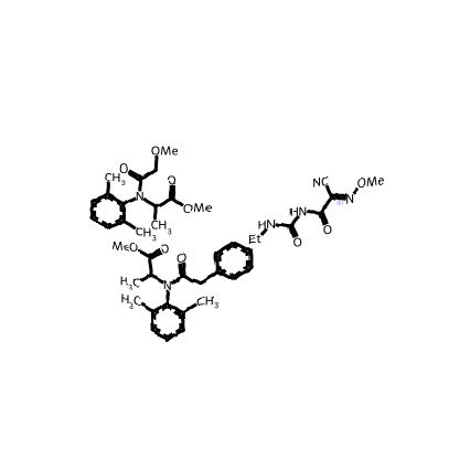 CCNC(=O)NC(=O)/C(C#N)=N/OC.COC(=O)C(C)N(C(=O)Cc1ccccc1)c1c(C)cccc1C.COCC(=O)N(c1c(C)cccc1C)C(C)C(=O)OC